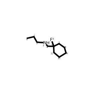 CCCNCC1(F)CCCCC1